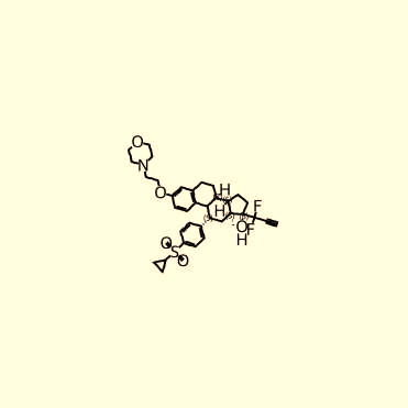 C#CC(F)(F)[C@]1(O)CC[C@H]2[C@@H]3CCc4cc(OCCN5CCOCC5)ccc4C3[C@@H](c3ccc(S(=O)(=O)C4CC4)cc3)C[C@@]21C